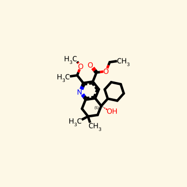 CCOC(=O)c1cc2c(nc1C(C)OC)CC(C)(C)C[C@]2(O)C1CCCCC1